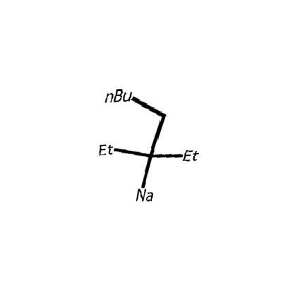 CCCCC[C]([Na])(CC)CC